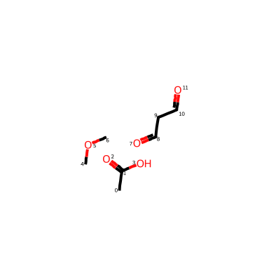 CC(=O)O.COC.O=CCC=O